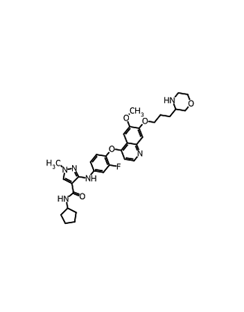 COc1cc2c(Oc3ccc(Nc4nn(C)cc4C(=O)NC4CCCC4)cc3F)ccnc2cc1OCCCC1COCCN1